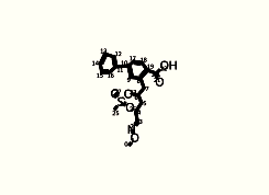 CON=CCCC(Cc1cc(-c2ccccc2)ccc1C(=O)O)OS(C)(=O)=O